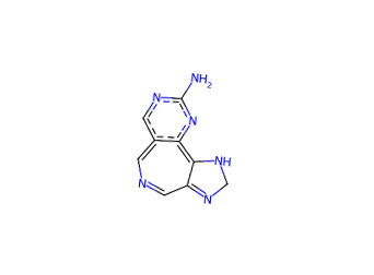 Nc1ncc2c(n1)=C1NCN=C1C=NC=2